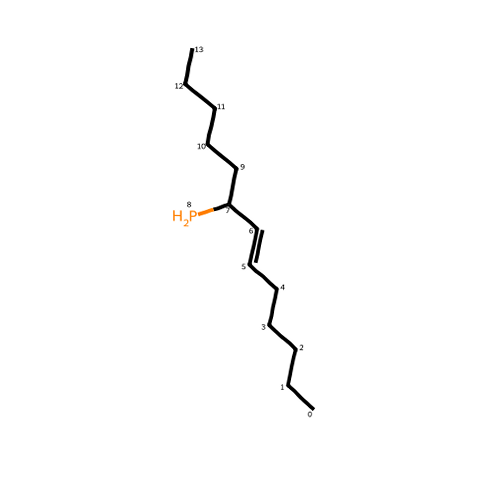 CCCCCC=CC(P)CCCCC